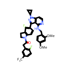 COc1ccc(CNc2nccc3c2c(-c2ccc4c(c2F)CCN4C(=O)Cc2cc(C(F)(F)F)ccc2F)nn3C2CC2)c(OC)c1